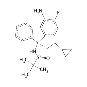 CC(C)(C)[S@+]([O-])N[C@@](CCC1CC1)(c1ccccc1)c1ccc(F)c(N)c1